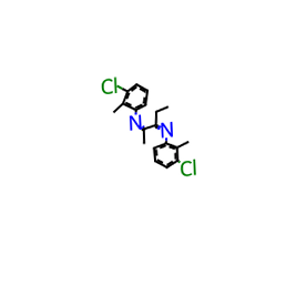 CCC(=N/c1cccc(Cl)c1C)/C(C)=N\c1cccc(Cl)c1C